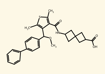 COC(c1ccc(-c2ccccc2)cc1)c1c(C)sc(C)c1C(=O)NC1CC2(C1)CC(C(=O)O)C2